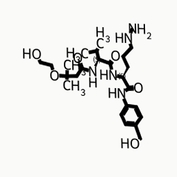 CC(C)[C@H](NC(=O)CC(C)(C)OCCO)C(=O)N[C@@H](CCCNN)C(=O)Nc1ccc(CO)cc1